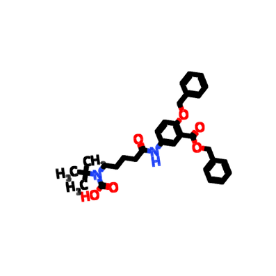 CC(C)(C)N(CCCCC(=O)Nc1ccc(OCc2ccccc2)c(C(=O)OCc2ccccc2)c1)C(=O)O